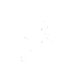 CC1CN(Cc2cccs2)CC1C1=NC2=CN(C3CCOCC3)CN2C(=O)N1